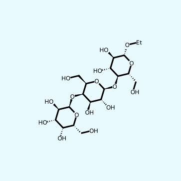 CCO[C@@H]1O[C@H](CO)[C@@H](O[C@@H]2O[C@H](CO)[C@H](O[C@H]3O[C@H](CO)[C@H](O)[C@H](O)[C@H]3O)[C@H](O)[C@H]2O)[C@H](O)[C@H]1O